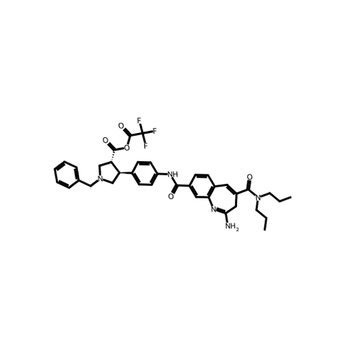 CCCN(CCC)C(=O)C1=Cc2ccc(C(=O)Nc3ccc([C@H]4CN(Cc5ccccc5)C[C@@H]4C(=O)OC(=O)C(F)(F)F)cc3)cc2N=C(N)C1